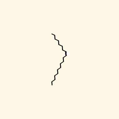 [CH2]CCCCCC/C=C\CCCCCCCCCC